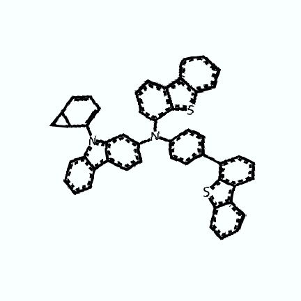 C1=CC2CC2C(n2c3ccccc3c3ccc(N(c4ccc(-c5cccc6c5sc5ccccc56)cc4)c4cccc5c4sc4ccccc45)cc32)=C1